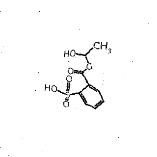 CC(O)OC(=O)c1ccccc1S(=O)(=O)O